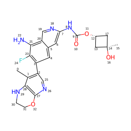 Cc1c(-c2cc3cc(NC(=O)O[C@H]4C[C@](C)(O)C4)ncc3c(N)c2F)cnc2c1NCCO2